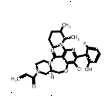 C=CC(=O)N1CCN2C(=O)c3c(N4CCCC(C)C4C)nc(-c4c(O)cccc4F)c(Cl)c3OC[C@H]2C1